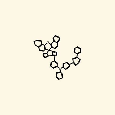 C1=Cc2c(ccc3c2Oc2c(ccc4ccccc24)C32c3ccccc3-c3c(-c4cccc(N(c5ccccc5)c5ccc(-c6cccc(-c7ccccc7)c6)cc5)c4)cccc32)CC1